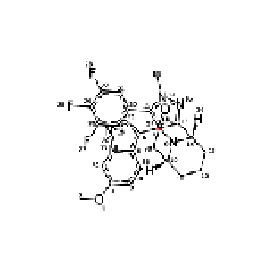 COc1ccc2c(C(=O)N3[C@@H]4CCC[C@H]3c3nn(C)c(-c5cc(F)c(F)c(F)c5)c3C4)cnn2c1